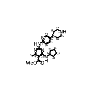 COC(=O)c1c(C)nc(Nc2ccc(N3CCNCC3)cn2)nc1NC1CCCC1